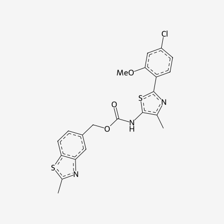 COc1cc(Cl)ccc1-c1nc(C)c(NC(=O)OCc2ccc3sc(C)nc3c2)s1